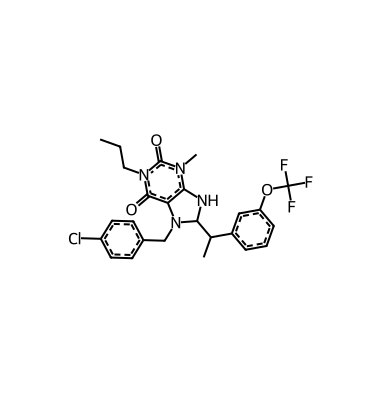 CCCn1c(=O)c2c(n(C)c1=O)NC(C(C)c1cccc(OC(F)(F)F)c1)N2Cc1ccc(Cl)cc1